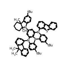 CC(C)(C)c1ccc2c(c1)B1c3cc(C(C)(C)C)ccc3N(c3cccc4c3sc3ccccc34)c3cc(N4c5ccc(C(C)(C)C)cc5C5(C)CCCCC45C)cc(c31)N2c1cccc2c1-c1ccccc1C2(C)C